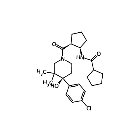 CC1(C)CN(C(=O)[C@H]2CCC[C@H]2NC(=O)C2CCCC2)CC[C@]1(O)c1ccc(Cl)cc1